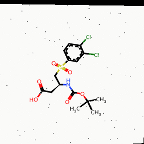 CC(C)(C)OC(=O)N[C@@H](CC(=O)O)CS(=O)(=O)c1ccc(Cl)c(Cl)c1